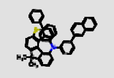 C[Si]1(C)c2cccc(N(c3ccc(-c4ccccc4)cc3)c3cccc(-c4ccc5ccccc5c4)c3)c2-c2c1ccc1sc3ccccc3c21